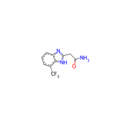 NC(=O)Cc1nc2cccc(C(F)(F)F)c2[nH]1